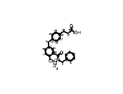 CN(Cc1ccccc1)C(=O)c1cc(Cc2ccc(CCC(=O)O)cc2)ccc1O